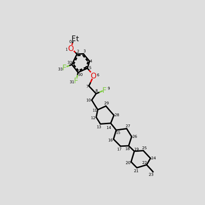 CCOc1ccc(OCC(F)CC2CCC(C3CCC(C4CCC(C)CC4)CC3)CC2)c(F)c1F